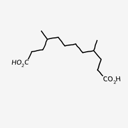 CC(CCCCC(C)CCC(=O)O)CCC(=O)O